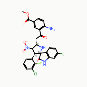 COC(=O)c1ccc(N)c(C(=O)C[C@@H]2N[C@@]3(C(=O)Nc4cc(Cl)ccc43)[C@@H](c3cccc(Cl)c3F)C2[N+](=O)[O-])c1